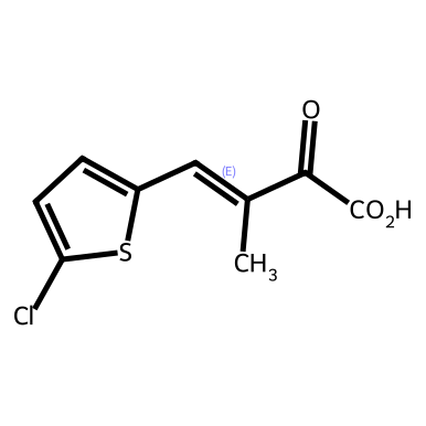 C/C(=C\c1ccc(Cl)s1)C(=O)C(=O)O